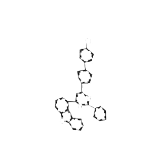 Clc1ccc(-c2ccc(-c3cc(-c4cccc5oc6ccccc6c45)nc(-c4ccccc4)n3)cc2)cc1